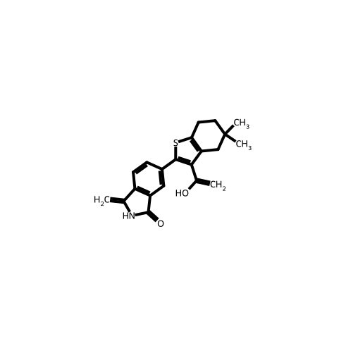 C=C1NC(=O)c2cc(-c3sc4c(c3C(=C)O)CC(C)(C)CC4)ccc21